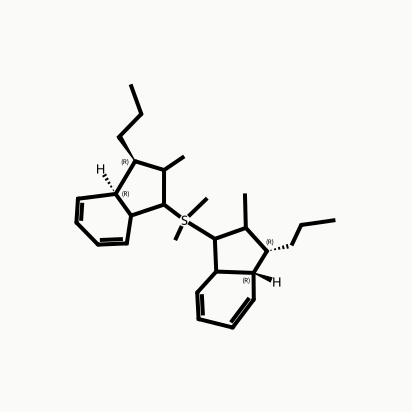 CCC[C@H]1C(C)C(S(C)(C)C2C3C=CC=C[C@H]3[C@@H](CCC)C2C)C2C=CC=C[C@H]21